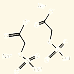 O=C([O-])COS(=O)(=O)O.O=C([O-])COS(=O)(=O)O.[Na+].[Na+]